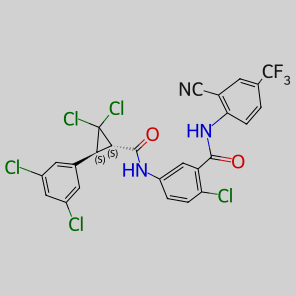 N#Cc1cc(C(F)(F)F)ccc1NC(=O)c1cc(NC(=O)[C@@H]2[C@@H](c3cc(Cl)cc(Cl)c3)C2(Cl)Cl)ccc1Cl